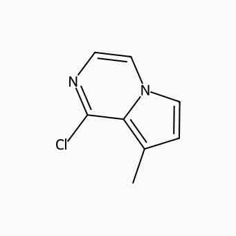 Cc1ccn2ccnc(Cl)c12